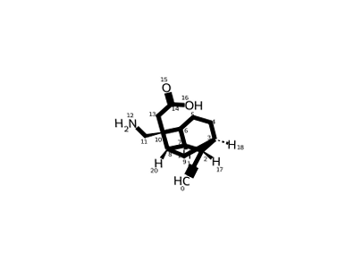 C#C[C@H]1[C@@H]2CCC3[C@H]1[C@H](C2)[C@]3(CN)CC(=O)O